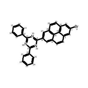 Brc1cc2ccc3cc(-c4nc(-c5ccccc5)nc(-c5ccccc5)n4)cc4ccc(c1)c2c34